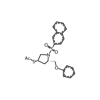 CC(=O)S[C@@H]1C[C@@H](COc2ccccc2)N(S(=O)(=O)c2ccc3ccccc3c2)C1